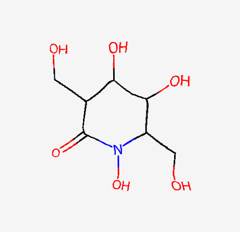 O=C1C(CO)C(O)C(O)C(CO)N1O